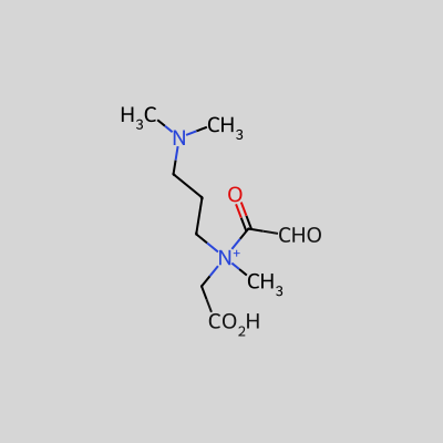 CN(C)CCC[N+](C)(CC(=O)O)C(=O)C=O